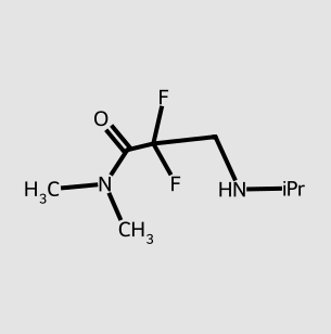 CC(C)NCC(F)(F)C(=O)N(C)C